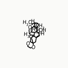 CC1OCCOC23CC4=C[C@H](O)[C@@H]5C(CC[C@]6(C)[C@@H]1CC[C@H]56)[C@@]4(C)CC2OCCO3